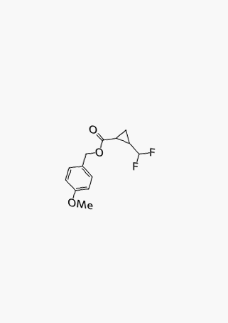 COc1ccc(COC(=O)C2CC2C(F)F)cc1